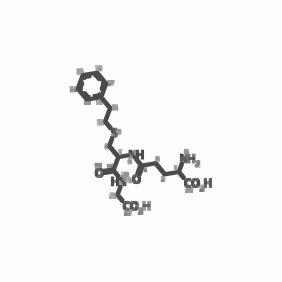 NC(CCC(=O)NC(CSCCc1ccccc1)C(=O)NCC(=O)O)C(=O)O